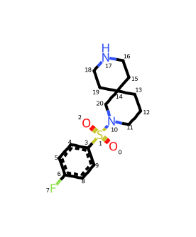 O=S(=O)(c1ccc(F)cc1)N1CCCC2(CCNCC2)C1